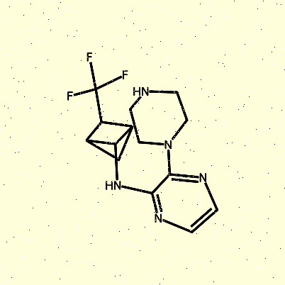 FC(F)(F)C1C2CC1C2Nc1nccnc1N1CCNCC1